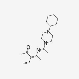 C=C/C(C(C)=O)=C(C)/N=C(\C)N1CCN(C2CCCCC2)CC1